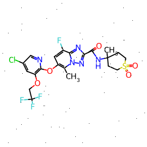 Cc1c(Oc2ncc(Cl)cc2OCC(F)(F)F)cc(F)c2nc(C(=O)NC3(C)CCS(=O)(=O)CC3)nn12